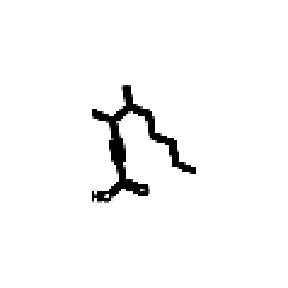 CCCCCC(C)C(C)C#CC(=O)O